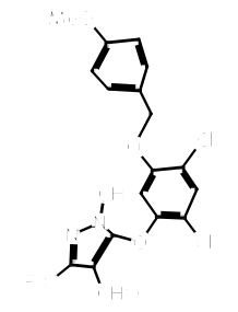 COc1ccc(COc2cc(Oc3c(C=O)c(C(F)(F)F)nn3C)c(Cl)cc2Cl)cc1